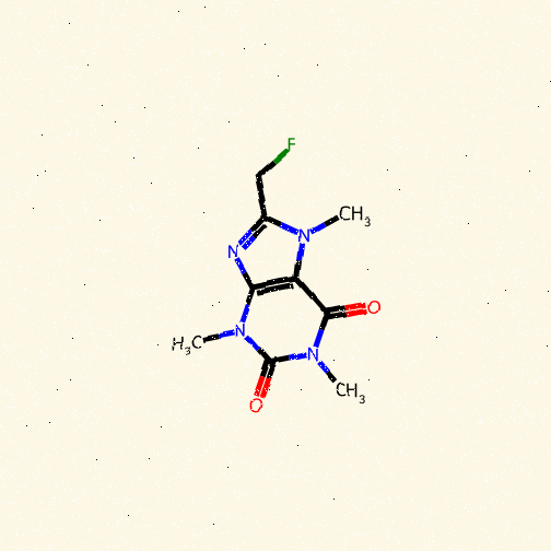 Cn1c(=O)c2c(nc(CF)n2C)n(C)c1=O